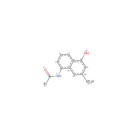 CCC(=O)Nc1cccc2c(O)cc(S(=O)(=O)O)cc12